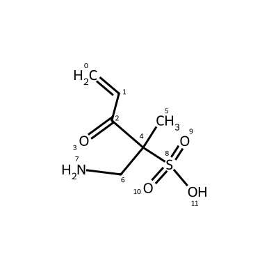 C=CC(=O)C(C)(CN)S(=O)(=O)O